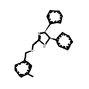 Cc1cccc(COCC2=N[C@@H](c3ccccc3)[C@@H](c3ccccc3)N2)c1